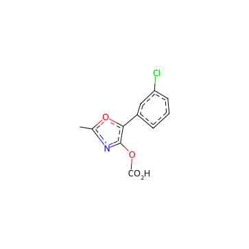 Cc1nc(OC(=O)O)c(-c2cccc(Cl)c2)o1